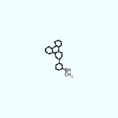 CBc1cccc(-c2ccc3c4ccccc4c4ccccc4c3c2)c1